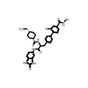 CC(C)NC(=O)c1ccc(-c2ccc(CC(NC(=O)[C@H]3CC[C@H](CN)CC3)C(=O)Nc3ccc4[nH]c(=O)[nH]c4c3)cc2)c(Cl)c1